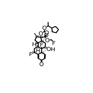 CC(OC(=O)O[C@@]1(C(=O)OCF)[C@H](C)C[C@H]2[C@@H]3C[C@H](F)C4=CC(=O)C=C[C@]4(C)C3(F)[C@@H](O)C[C@@]21C)C1CCCC1